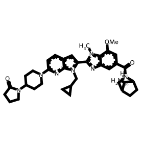 COc1cc(C(=O)N2CC3CCC2[C@@H]3N)cc2nc(-c3cc4ccc(N5CCC(N6CCCC6=O)CC5)nc4n3CC3CC3)n(C)c12